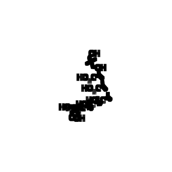 C=C(C)C(=O)O.C=C(C)C(=O)O.C=C(C)C(=O)O.C=C(C)C(=O)O.C=C(C)C(=O)O.CC(C)(CO)CO.CCC(CO)(CO)CO